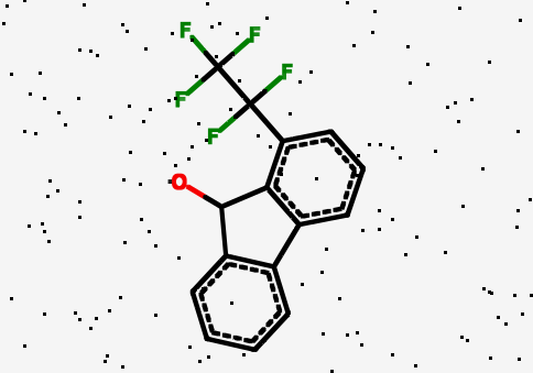 [O]C1c2ccccc2-c2cccc(C(F)(F)C(F)(F)F)c21